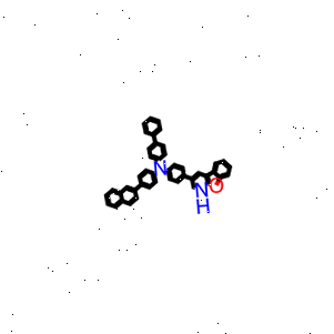 C1=C(c2ccc(N(c3ccc(-c4ccccc4)cc3)c3ccc(-c4ccc5ccccc5c4)cc3)cc2)CNc2oc3ccccc3c21